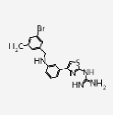 [CH2]c1cc(Br)cc(CNc2cccc(-c3csc(NC(=N)N)n3)c2)c1